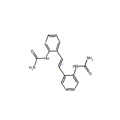 NC(=O)Nc1ccccc1/C=C/c1ccccc1NC(N)=O